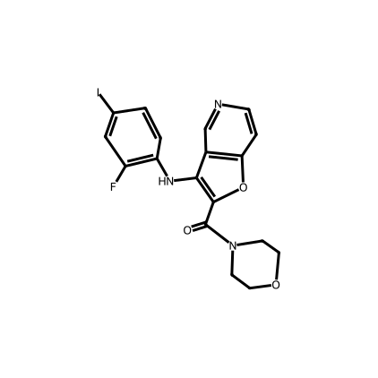 O=C(c1oc2ccncc2c1Nc1ccc(I)cc1F)N1CCOCC1